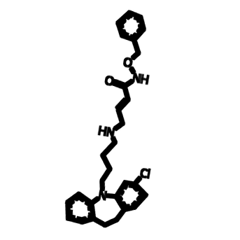 O=C(/C=C/CNCCCCN1c2ccccc2CCc2ccc(Cl)cc21)NOCc1ccccc1